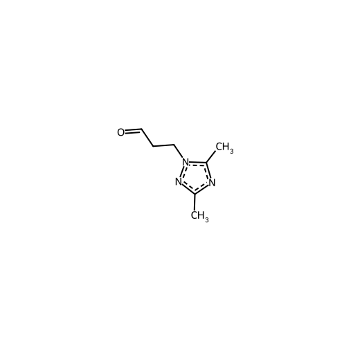 Cc1nc(C)n(CCC=O)n1